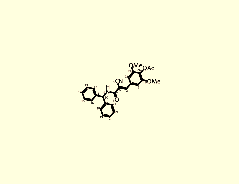 COc1cc(/C=C(\C#N)C(=O)NC(c2ccccc2)c2ccccc2)cc(OC)c1OC(C)=O